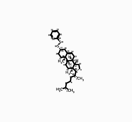 CC(C)CCC[C@@H](C)[C@H]1CC[C@H]2[C@@H]3CC=C4C[C@@H](SSc5ccccn5)CC[C@]4(C)[C@H]3CC[C@]12C